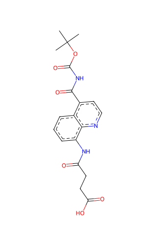 CC(C)(C)OC(=O)NC(=O)c1ccnc2c(NC(=O)CCC(=O)O)cccc12